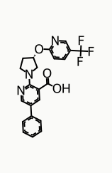 O=C(O)c1cc(-c2ccccc2)cnc1N1CC[C@H](Oc2ccc(C(F)(F)F)cn2)C1